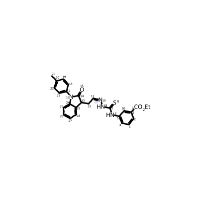 CCOC(=O)c1cccc(NC(=S)N/N=C\CC2C(=O)N(c3ccc(C)cc3)c3ccccc32)c1